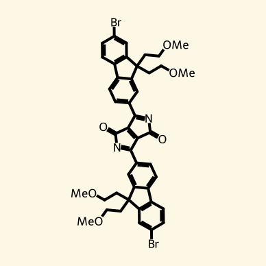 COCCC1(CCOC)c2cc(Br)ccc2-c2ccc(-c3nc(=O)c4c(-c5ccc6c(c5)C(CCOC)(CCOC)c5cc(Br)ccc5-6)nc(=O)c3=4)cc21